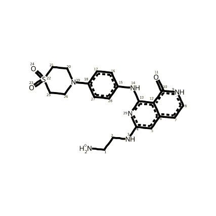 NCCNc1cc2cc[nH]c(=O)c2c(Nc2ccc(N3CCS(=O)(=O)CC3)cc2)n1